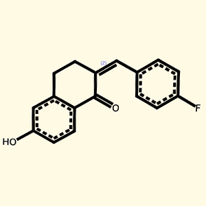 O=C1/C(=C\c2ccc(F)cc2)CCc2cc(O)ccc21